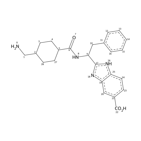 NCC1CCC(C(=O)NC(Cc2ccccc2)c2nc3cc(C(=O)O)ccc3[nH]2)CC1